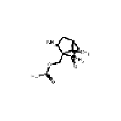 CC1(C)C2CCC1(COC(=O)O)C(=O)C2.N